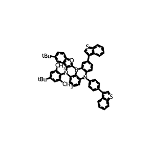 Cc1cc(C(C)(C)C)cc(C)c1N1c2cccc3c2B(c2cc(-c4csc5ccccc45)ccc2N3c2ccc(-c3csc4ccccc34)cc2)c2oc3ccc(C(C)(C)C)cc3c21